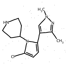 Cc1nn(C)cc1-c1ccc(Cl)n1C1CCNCC1